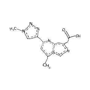 Cc1cc(-c2cn(C)nn2)nc2c(C(=O)O)ncn12